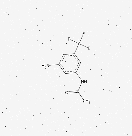 CC(=O)Nc1cc(N)cc(C(F)(F)F)c1